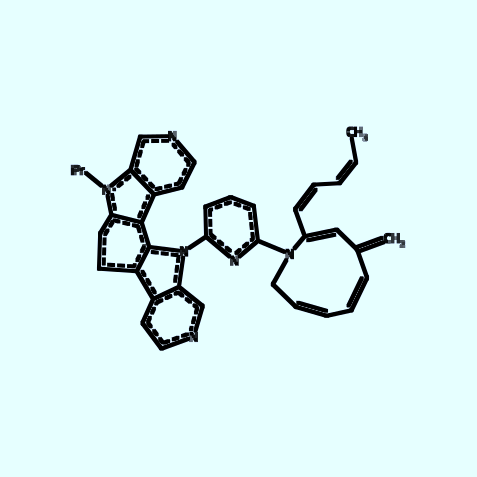 C=C1/C=C\C=C/CN(c2cccc(-n3c4cnccc4c4ccc5c(c6ccncc6n5C(C)C)c43)n2)C(/C=C\C=C/C)=C\1